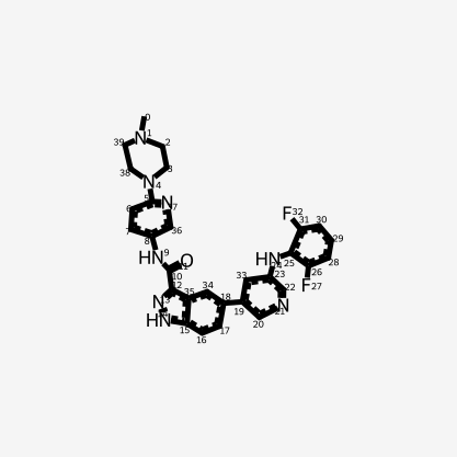 CN1CCN(c2ccc(NC(=O)c3n[nH]c4ccc(-c5cncc(Nc6c(F)cccc6F)c5)cc34)cn2)CC1